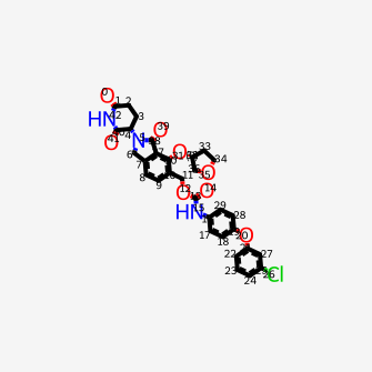 O=C1CCC(N2Cc3ccc(COC(=O)Nc4ccc(Oc5cccc(Cl)c5)cc4)c(O[C@@H]4CCOC4)c3C2=O)C(=O)N1